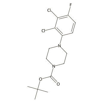 CC(C)(C)OC(=O)N1CCN(c2ccc(F)c(Cl)c2Cl)CC1